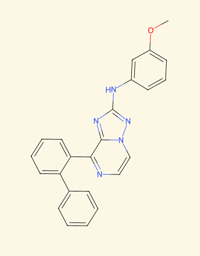 COc1cccc(Nc2nc3c(-c4ccccc4-c4ccccc4)nccn3n2)c1